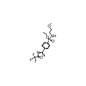 CCOP(=O)(NCCOC)c1ccc(-c2noc(C(F)(F)F)n2)cc1